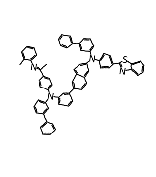 C/C(=N\c1ccccc1C)c1ccc(N(c2cccc(-c3ccccc3)c2)c2cccc(-c3ccc4cc(N(c5ccc(-c6nc7ccccc7s6)cc5)c5cccc(-c6ccccc6)c5)ccc4c3)c2)cc1